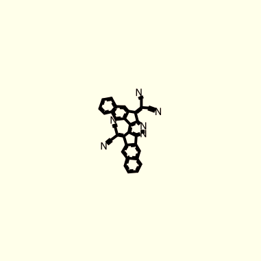 N#CC(C#N)=C1c2cc3ccccc3cc2-c2c1nnc1c2C(=C(C#N)C#N)c2cc3ccccc3cc2-1